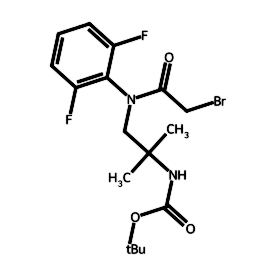 CC(C)(CN(C(=O)CBr)c1c(F)cccc1F)NC(=O)OC(C)(C)C